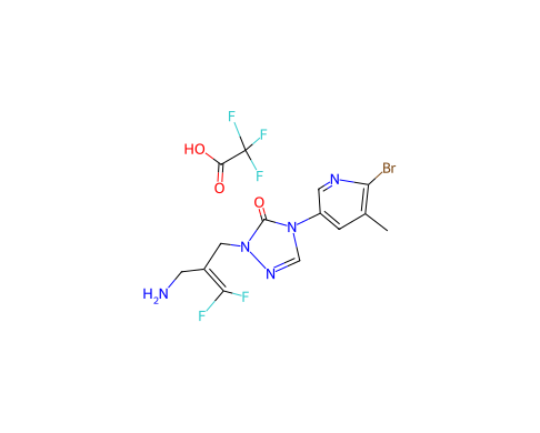 Cc1cc(-n2cnn(CC(CN)=C(F)F)c2=O)cnc1Br.O=C(O)C(F)(F)F